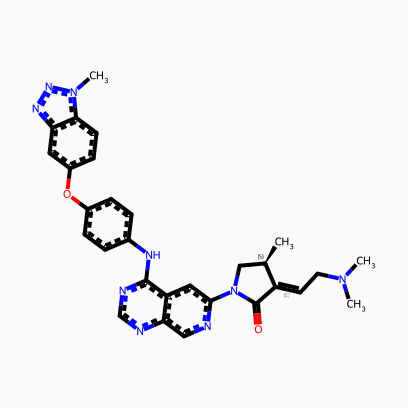 C[C@@H]1CN(c2cc3c(Nc4ccc(Oc5ccc6c(c5)nnn6C)cc4)ncnc3cn2)C(=O)/C1=C/CN(C)C